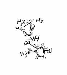 CC(C)(C)OC(=O)NC(=O)c1cc(Cl)ccc1N